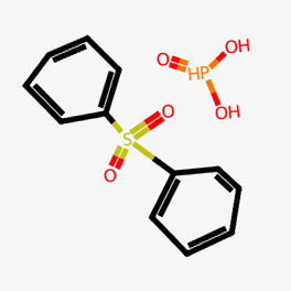 O=S(=O)(c1ccccc1)c1ccccc1.O=[PH](O)O